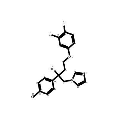 OC(CCOc1ccc(Cl)c(Cl)c1)(Cn1ccnc1)c1ccc(Cl)cc1